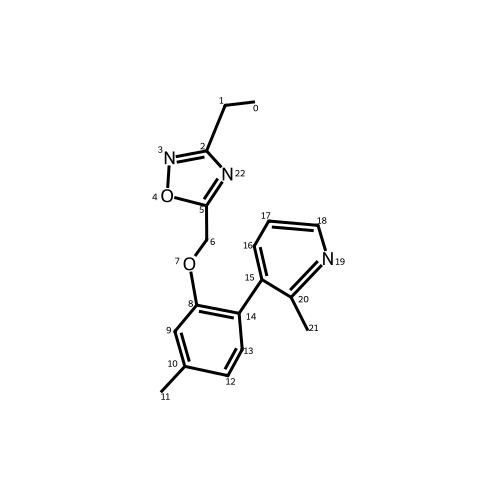 CCc1noc(COc2cc(C)ccc2-c2cccnc2C)n1